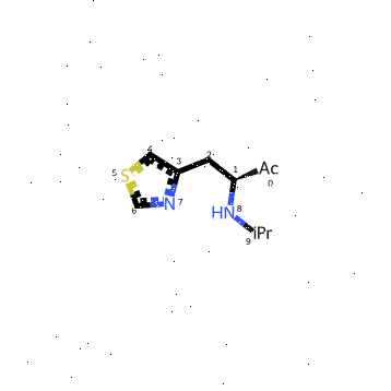 CC(=O)[C@H](Cc1cscn1)NC(C)C